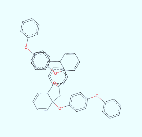 O=C(CC1(Oc2ccc(Oc3ccccc3)cc2)C=CC=CC1c1ccccc1)CC1(Oc2ccc(Oc3ccccc3)cc2)C=CC=CC1c1ccccc1